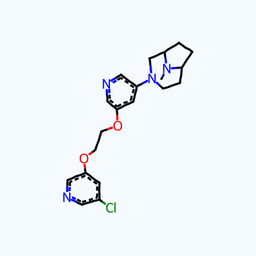 CN1C2CCC1CN(c1cncc(OCCOc3cncc(Cl)c3)c1)CC2